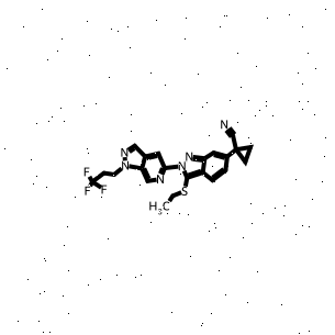 CCSc1c2ccc(C3(C#N)CC3)cc2nn1-c1cc2cnn(CCC(F)(F)F)c2cn1